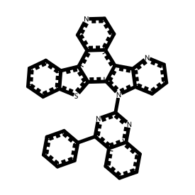 c1ccc(-c2nc(-n3c4cccnc4c4c5ccncc5c5c6ccccc6sc5c43)nc3ccccc23)cc1